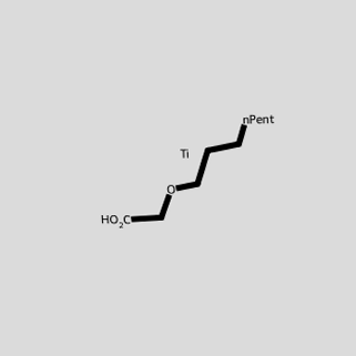 CCCCCCCCOCC(=O)O.[Ti]